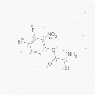 CCC(N)C(=O)Oc1ccc(Br)c(F)c1[N+](=O)[O-]